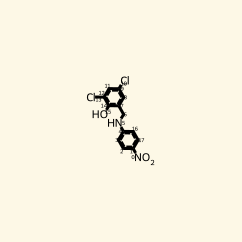 O=[N+]([O-])c1ccc(NCc2cc(Cl)cc(Cl)c2O)cc1